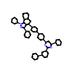 c1ccc(-c2cccc(-c3nc(-c4ccccc4)cc(-c4ccc(-c5ccc(-c6cc7ccccc7c7c6c(-c6ccccc6)nn7-c6ccccc6)cc5)cc4)n3)c2)cc1